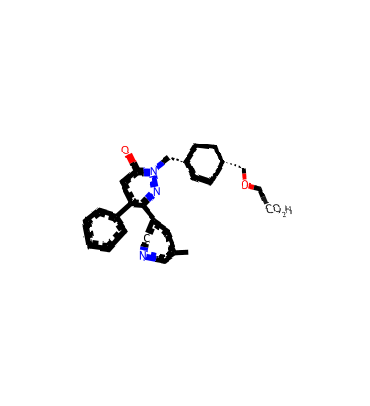 Cc1cncc(-c2nn(C[C@H]3CC[C@@H](COCC(=O)O)CC3)c(=O)cc2-c2ccccc2)c1